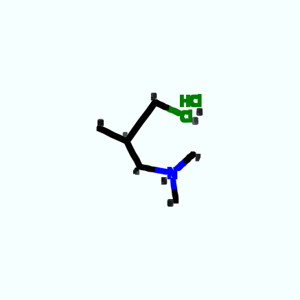 CC(CCl)CN(C)C.Cl